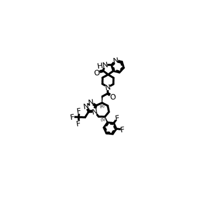 O=C(C[C@H]1CC[C@@H](c2cccc(F)c2F)Cn2c(CC(F)(F)F)nnc21)N1CCC2(CC1)C(=O)Nc1ncccc12